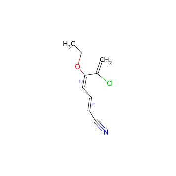 C=C(Cl)/C(=C\C=C\C#N)OCC